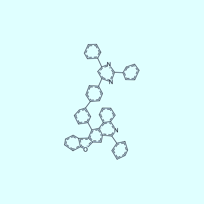 c1ccc(-c2cc(-c3ccc(-c4cccc(-c5c6c(cc7c(-c8ccccc8)nc8ccccc8c57)oc5ccccc56)c4)cc3)nc(-c3ccccc3)n2)cc1